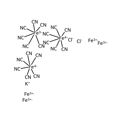 N#[C][Fe-3]([C]#N)([C]#N)([C]#N)([C]#N)[C]#N.N#[C][Fe-4]([C]#N)([C]#N)([C]#N)([C]#N)[C]#N.N#[C][Fe-4]([C]#N)([C]#N)([C]#N)([C]#N)[C]#N.[Cl-].[Cl-].[Fe+3].[Fe+3].[Fe+3].[Fe+3].[K+]